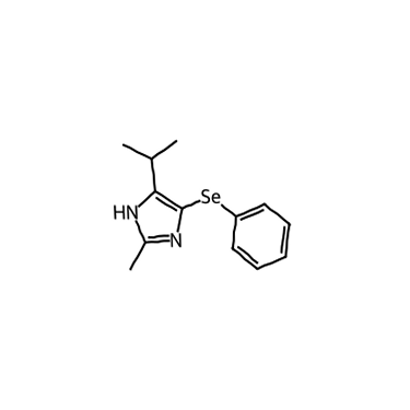 Cc1nc([Se]c2ccccc2)c(C(C)C)[nH]1